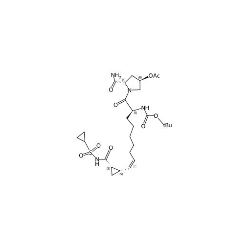 CC(=O)O[C@@H]1C[C@@H](C(N)=O)N(C(=O)[C@H](CCCCC/C=C\[C@@H]2C[C@@H]2C(=O)NS(=O)(=O)C2CC2)NC(=O)OC(C)(C)C)C1